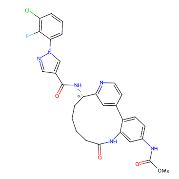 COC(=O)Nc1ccc2c(c1)NC(=O)CCCC[C@H](NC(=O)c1cnn(-c3cccc(Cl)c3F)c1)c1cc-2ccn1